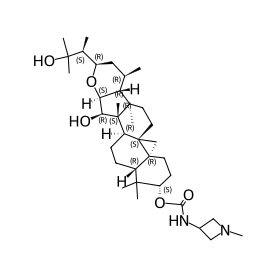 C[C@@H]1C[C@H]([C@H](C)C(C)(C)O)O[C@H]2[C@H]1[C@@]1(C)CC[C@@]34C[C@@]35CC[C@H](OC(=O)NC3CN(C)C3)C(C)(C)[C@@H]5CC[C@H]4[C@]1(C)[C@H]2O